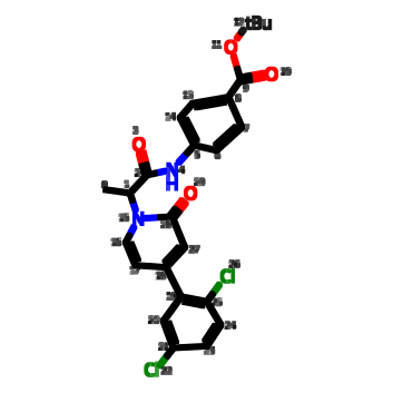 CC(C(=O)Nc1ccc(C(=O)OC(C)(C)C)cc1)n1ccc(-c2cc(Cl)ccc2Cl)cc1=O